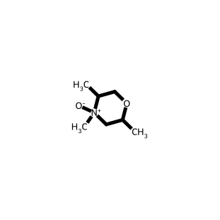 CC1C[N+](C)([O-])C(C)CO1